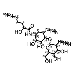 [N-]=[N+]=NCC[C@H](O)C(=O)N[C@@H]1CC(N=[N+]=[N-])[C@@H](O[C@H]2OC(CO)[C@@H](O)[C@H](O)C2N=[N+]=[N-])C(O)[C@@H]1O